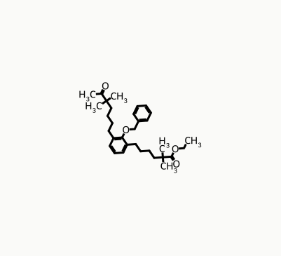 CCOC(=O)C(C)(C)CCCCc1cccc(CCCCC(C)(C)C(C)=O)c1OCc1ccccc1